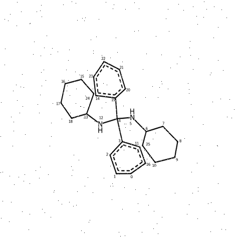 c1ccc(C(NC2CCCCC2)(NC2CCCCC2)c2ccccc2)cc1